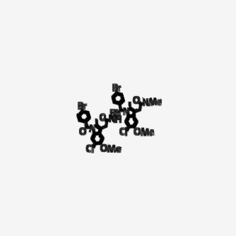 CCNC(=O)Cc1c(C)n(C(=O)c2ccc(Br)cc2)c2cc(Cl)c(OC)cc12.CNC(=O)Cc1c(C)n(C(=O)c2ccc(Br)cc2)c2cc(Cl)c(OC)cc12